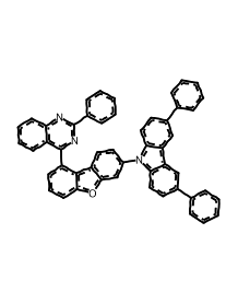 c1ccc(-c2ccc3c(c2)c2cc(-c4ccccc4)ccc2n3-c2ccc3c(c2)oc2cccc(-c4nc(-c5ccccc5)nc5ccccc45)c23)cc1